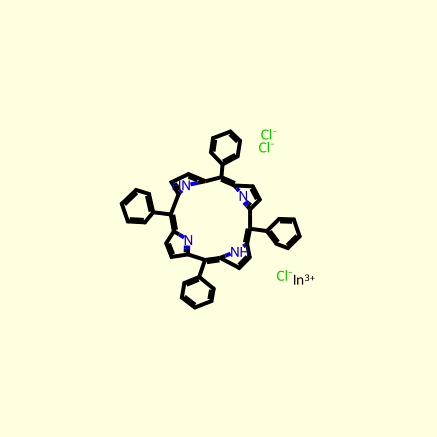 C1=Cc2nc1c(-c1ccccc1)c1ccc([nH]1)c(-c1ccccc1)c1nc(c(-c3ccccc3)c3ccc([nH]3)c2-c2ccccc2)C=C1.[Cl-].[Cl-].[Cl-].[In+3]